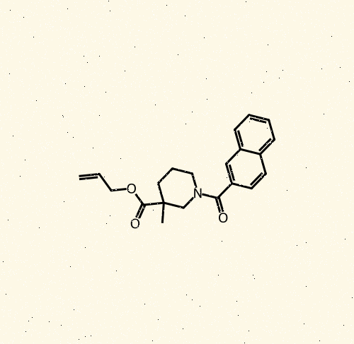 C=CCOC(=O)C1(C)CCCN(C(=O)c2ccc3ccccc3c2)C1